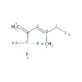 C=C(/C=C(\C)CF)C(F)(F)F